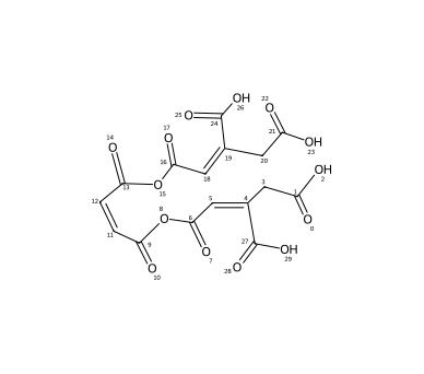 O=C(O)CC(=CC(=O)OC(=O)/C=C\C(=O)OC(=O)C=C(CC(=O)O)C(=O)O)C(=O)O